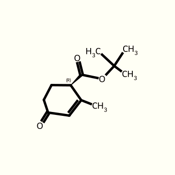 CC1=CC(=O)CC[C@H]1C(=O)OC(C)(C)C